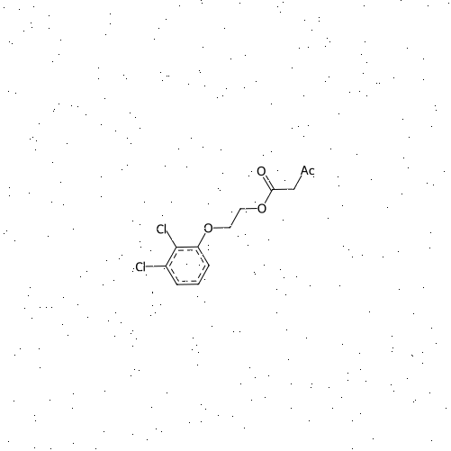 CC(=O)CC(=O)OCCOc1cccc(Cl)c1Cl